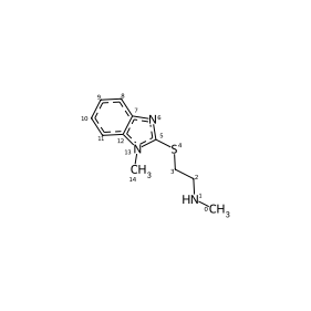 CNCCSc1nc2ccccc2n1C